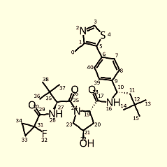 Cc1ncsc1-c1ccc([C@H](CC(C)(C)C)NC(=O)[C@@H]2C[C@@H](O)CN2C(=O)[C@@H](NC(=O)C2(F)CC2)C(C)(C)C)cc1